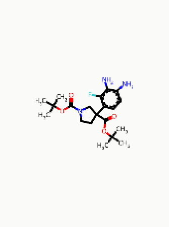 CC(C)(C)OC(=O)N1CCC(C(=O)OC(C)(C)C)(c2ccc(N)c(N)c2F)C1